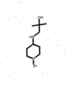 CC(C)N1CCC(NCC(C)(C)O)CC1